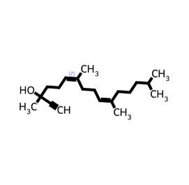 C#CC(C)(O)CC/C=C(/C)CCC=C(C)CCCC(C)C